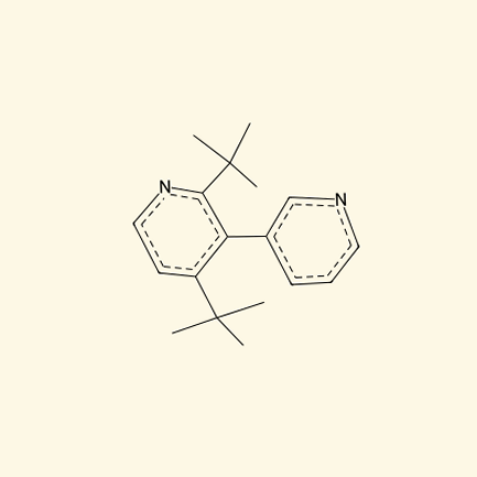 CC(C)(C)c1ccnc(C(C)(C)C)c1-c1cccnc1